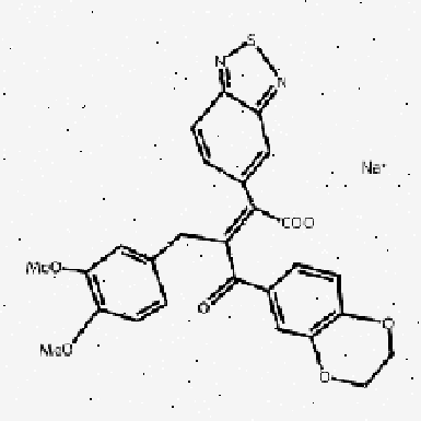 COc1ccc(CC(C(=O)c2ccc3c(c2)OCCO3)=C(C(=O)[O-])c2ccc3nsnc3c2)cc1OC.[Na+]